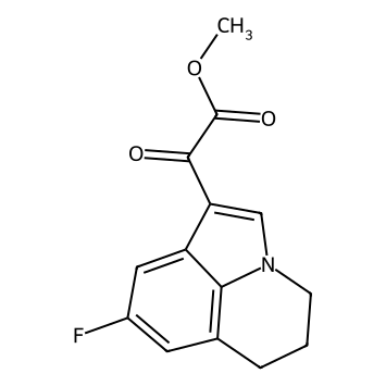 COC(=O)C(=O)c1cn2c3c(cc(F)cc13)CCC2